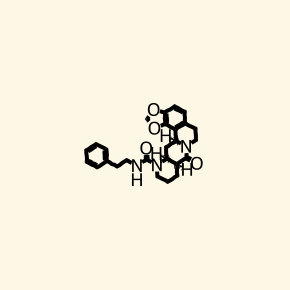 O=C1[C@H]2CCCN(C(=O)NCCc3ccccc3)[C@H]2C[C@H]2c3c(ccc4c3OCO4)CCN12